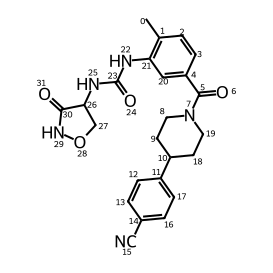 Cc1ccc(C(=O)N2CCC(c3ccc(C#N)cc3)CC2)cc1NC(=O)NC1CONC1=O